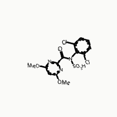 COc1cc(OC)nc(C(=O)N(c2c(Cl)cccc2Cl)S(=O)(=O)O)n1